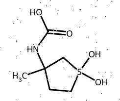 CC1(NC(=O)O)CCS(O)(O)C1